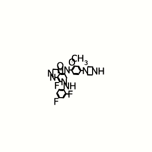 COc1cc(N2CCNCC2)ccc1NC1=C2C(=O)CN=NC2=CN(Nc2c(F)cc(F)cc2F)C1